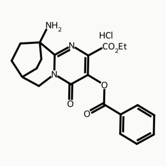 CCOC(=O)c1nc2n(c(=O)c1OC(=O)c1ccccc1)CC1CCC2(N)CC1.Cl